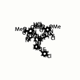 CCn1cncc1Cn1c(CCl)nc2c(OC)cc(C(=O)OC)cc21.CCn1cncc1Cn1c(CN2CCN(c3cccc(OCc4ccc(Cl)cc4F)n3)[C@@H]3CC[C@H]32)nc2c(OC)cc(C(=O)OC)cc21.Cl.Cl